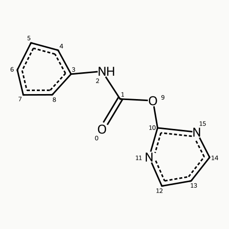 O=C(Nc1ccccc1)Oc1ncccn1